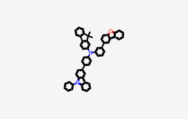 CC1(C)c2ccccc2-c2ccc(N(c3ccc(-c4ccc5c(c4)c4ccccc4n5-c4ccccc4)cc3)c3cccc(-c4ccc5oc6ccccc6c5c4)c3)cc21